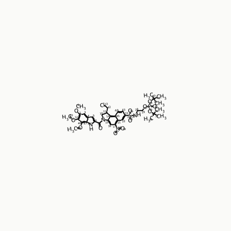 COc1cc2cc(C(=O)N3CC(CCl)c4c3cc([N+](=O)[O-])c3cc(S(=O)(=O)NCCOP(=O)(OC(C)(C)C)OC(C)(C)C)ccc43)[nH]c2c(OC)c1OC